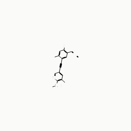 C=C=Cc1cc(C#Cc2cnc(NC)c(C)c2)c(C)cc1F